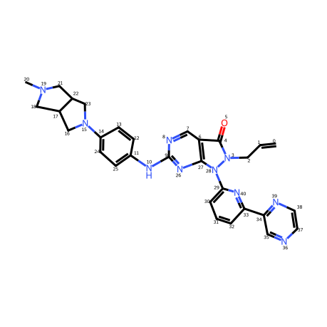 C=CCn1c(=O)c2cnc(Nc3ccc(N4CC5CN(C)CC5C4)cc3)nc2n1-c1cccc(-c2cnccn2)n1